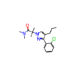 CCCc1cn(C(C)(C)C(=O)N(C)C)nc1-c1ccccc1Cl